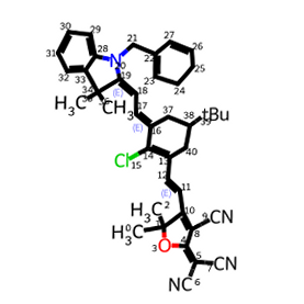 CC1(C)OC(=C(C#N)C#N)C(C#N)=C1/C=C/C1=C(Cl)C(=C/C=C2/N(CC3=CCCC=C3)c3ccccc3C2(C)C)/CC(C(C)(C)C)C1